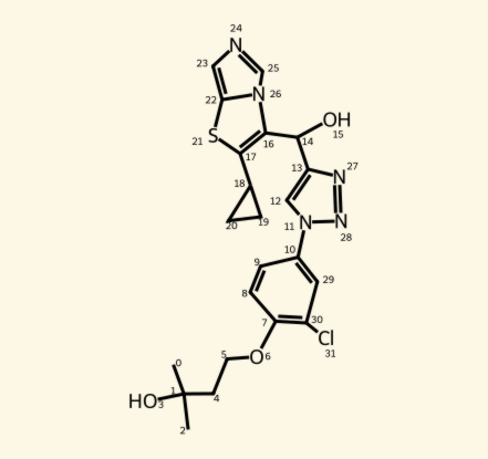 CC(C)(O)CCOc1ccc(-n2cc(C(O)c3c(C4CC4)sc4cncn34)nn2)cc1Cl